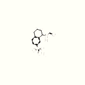 CS(=O)(=O)c1ccc2c(c1)C(NC=O)CCC2